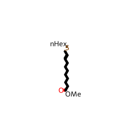 CCCCCCSCC=CCCCCCCCC(=O)OC